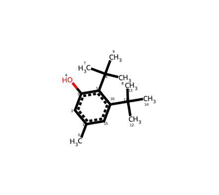 Cc1cc(O)c(C(C)(C)C)c(C(C)(C)C)c1